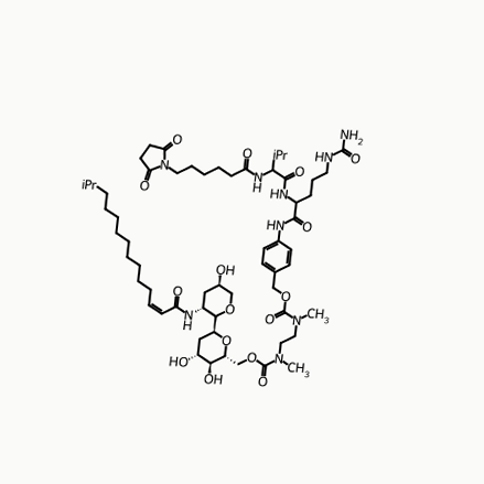 CC(C)CCCCCCCCC/C=C\C(=O)N[C@@H]1C[C@@H](O)COC1[C@@H]1C[C@@H](O)[C@H](O)[C@@H](COC(=O)N(C)CCN(C)C(=O)OCc2ccc(NC(=O)C(CCCNC(N)=O)NC(=O)C(NC(=O)CCCCCN3C(=O)CCC3=O)C(C)C)cc2)O1